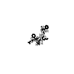 CCCCC(NC(=O)C1C2C[C@H]2CN1C(=O)[C@@H](NC(=O)OCC(C)C)C1CCCCC1)C(=O)C(=O)NCC(=O)N[C@H](C(=O)N(C)C)c1ccccc1